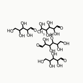 CC(O)C(O)C(O)C(O)C=O.O=CC(O)C(O)C(O)C(O)CO.O=CC(O)C(O)C(O)CO.O=CC(O)C(O)C(O)CO